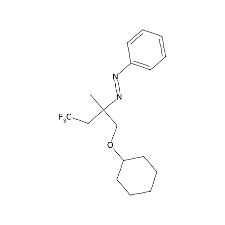 CC(COC1CCCCC1)(CC(F)(F)F)N=Nc1ccccc1